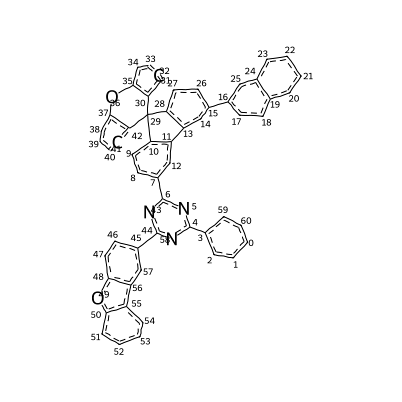 c1ccc(-c2nc(-c3ccc4c(c3)-c3cc(-c5ccc6ccccc6c5)ccc3C43c4ccccc4Oc4ccccc43)nc(-c3ccc4oc5ccccc5c4c3)n2)cc1